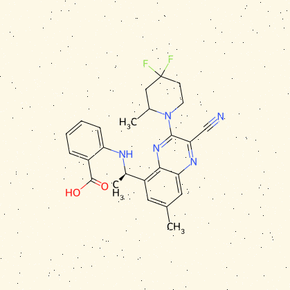 Cc1cc([C@@H](C)Nc2ccccc2C(=O)O)c2nc(N3CCC(F)(F)CC3C)c(C#N)nc2c1